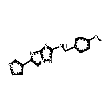 COc1ccc(CNc2nn3cc(-c4ccsc4)nc3s2)cc1